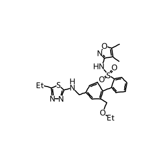 CCOCc1cc(CNc2nnc(CC)s2)ccc1-c1ccccc1S(=O)(=O)Nc1noc(C)c1C